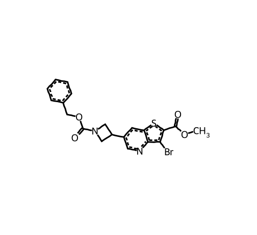 COC(=O)c1sc2cc(C3CN(C(=O)OCc4ccccc4)C3)cnc2c1Br